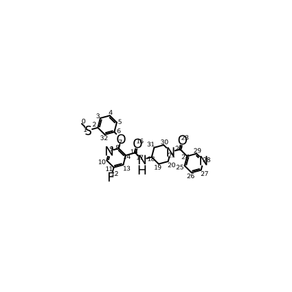 CSc1cccc(Oc2ncc(F)cc2C(=O)NC2CCN(C(=O)c3cccnc3)CC2)c1